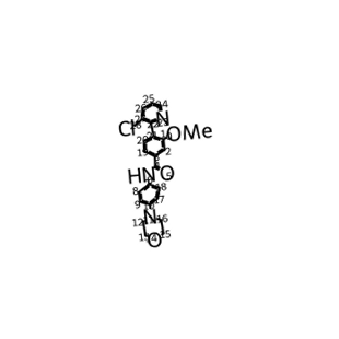 COc1cc(C(=O)Nc2ccc(N3CCOCC3)cc2)ccc1-c1ncccc1Cl